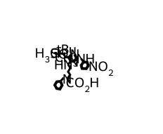 CC(C)(C)[Si](C)(C)OCc1cnc(Nc2cccc([N+](=O)[O-])c2)nc1NCCCN(Cc1ccccc1)C(=O)O